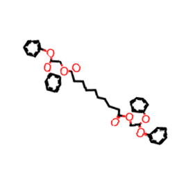 O=C(CCCCCCCCC(=O)OCC(Oc1ccccc1)Oc1ccccc1)OCC(Oc1ccccc1)Oc1ccccc1